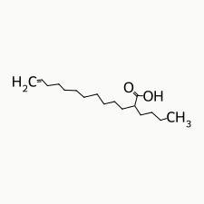 C=CCCCCCCCCCC(CCCC)C(=O)O